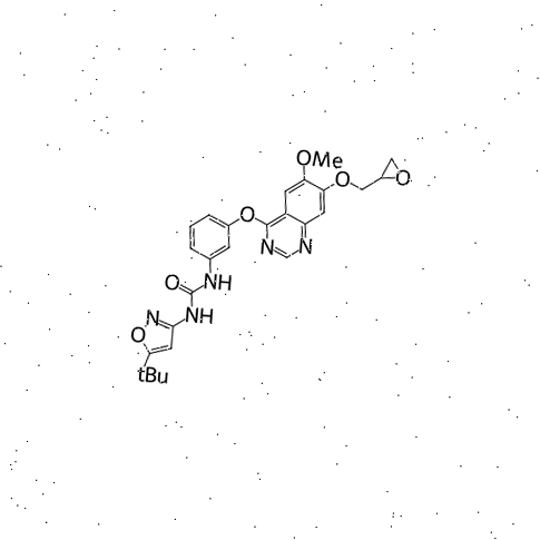 COc1cc2c(Oc3cccc(NC(=O)Nc4cc(C(C)(C)C)on4)c3)ncnc2cc1OCC1CO1